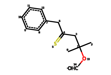 CC(C)(CC(=S)Cc1ccccc1)O[C]=O